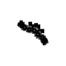 N#CC(C#N)=C1C2=CC3C(=C(C#N)C#N)c4cc(-c5ccc(OC(F)(F)F)cc5)ccc4C3C=C2c2ccc(-c3ccc(OC(F)(F)F)cc3)cc21